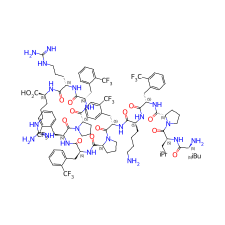 CC[C@H](C)[C@H](N)C(=O)N[C@@H](CC(C)C)C(=O)N1CCC[C@H]1C(=O)N[C@@H](Cc1ccccc1C(F)(F)F)C(=O)N[C@@H](CCCCN)C(=O)N[C@@H](Cc1ccccc1C(F)(F)F)C(=O)N1CCC[C@H]1C(=O)N[C@@H](Cc1ccccc1C(F)(F)F)C(=O)N[C@@H](Cc1ccccc1C(F)(F)F)C(=O)N1CCC[C@H]1C(=O)N[C@@H](Cc1ccccc1C(F)(F)F)C(=O)N[C@@H](CCCNC(=N)N)C(=O)N[C@@H](CCCNC(=N)N)C(=O)O